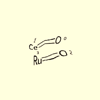 [O]=[Ce].[O]=[Ru]